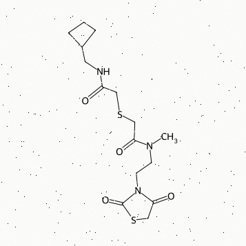 CN(CCN1C(=O)CSC1=O)C(=O)CSCC(=O)NCC1CCC1